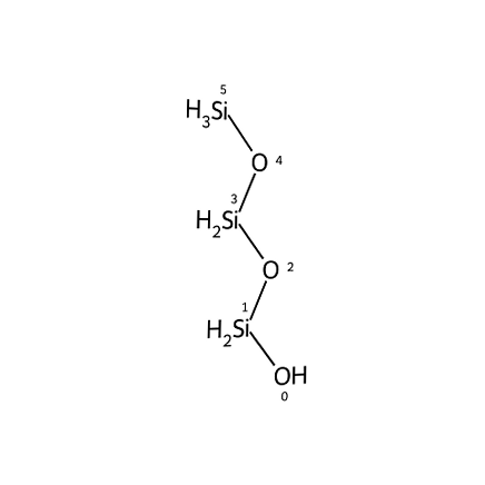 O[SiH2]O[SiH2]O[SiH3]